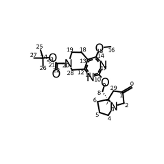 C=C1CN2CCC[C@@]2(COc2nc3c(c(OC)n2)CCN(C(=O)OC(C)(C)C)C3)C1